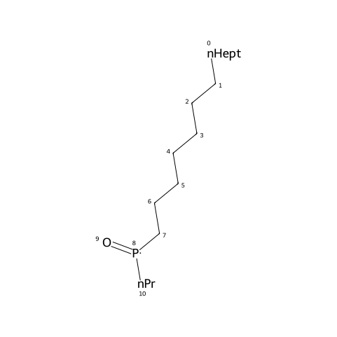 CCCCCCCCCCCCCC[P](=O)CCC